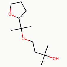 CC(C)(O)CCOC(C)(C)C1CCCO1